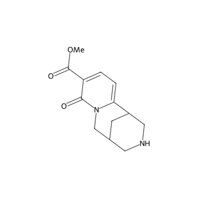 COC(=O)c1ccc2n(c1=O)CC1CNCC2C1